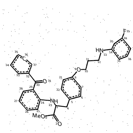 COC(=O)C(Cc1ccc(OCCCNc2cccc(F)c2)cc1)Nc1ccccc1C(=O)c1ccccc1